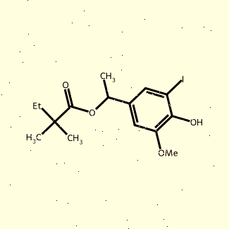 CCC(C)(C)C(=O)OC(C)c1cc(I)c(O)c(OC)c1